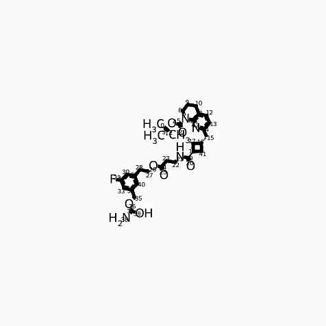 CC(C)(C)OC(=O)N1CCCc2ccc(C[C@H]3C[C@H](C(=O)NCCC(=O)OCCc4cc(F)cc(COC(N)O)c4)C3)nc21